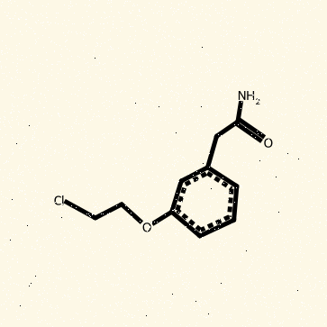 NC(=O)Cc1cccc(OCCCl)c1